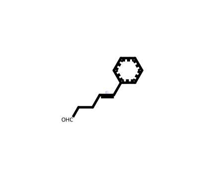 O=CCC/C=C/c1ccccc1